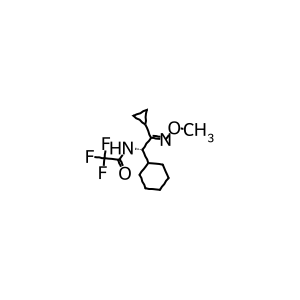 CON=C(C1CC1)[C@@H](NC(=O)C(F)(F)F)C1CCCCC1